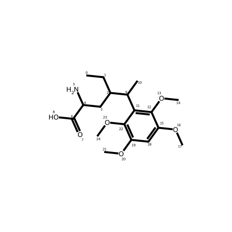 CCC(CC(N)C(=O)O)C(C)c1c(OC)c(OC)cc(OC)c1OC